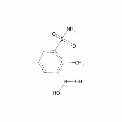 Cc1c(B(O)O)cccc1S(N)(=O)=O